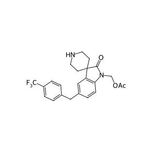 CC(=O)OCN1C(=O)C2(CCNCC2)c2cc(Cc3ccc(C(F)(F)F)cc3)ccc21